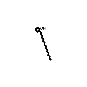 CCCCCCCCCCCCCCCC=Cc1ccccc1O